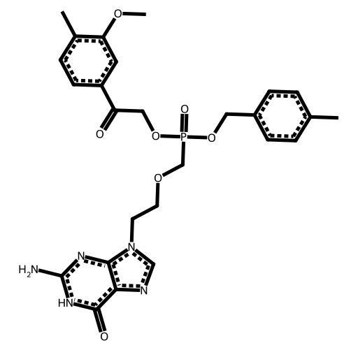 COc1cc(C(=O)COP(=O)(COCCn2cnc3c(=O)[nH]c(N)nc32)OCc2ccc(C)cc2)ccc1C